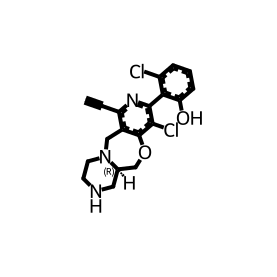 C#Cc1nc(-c2c(O)cccc2Cl)c(Cl)c2c1CN1CCNC[C@@H]1CO2